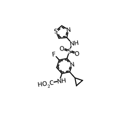 O=C(O)Nc1cc(F)c(S(=O)(=O)Nc2cscn2)nc1C1CC1